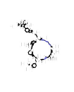 CO[C@@H]1C[C@@H](CC(C)[C@@H]2CC(=O)[C@H](C)/C=C(\C)[C@@H](O)[C@@H](OC)C(=O)[C@H](C)C[C@H](C)/C=C/C=C/C=C(/C)[C@@H](OCCCNc3nc4cc(-c5nn(C(C)C)c6ncnc(N)c56)ccc4o3)C[C@@H]3CC[C@@H](C)[C@@](O)(O3)C(=O)C(=O)N3CCCCC3C(=O)O2)CC[C@H]1O